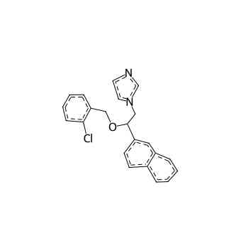 Clc1ccccc1COC(Cn1ccnc1)c1ccc2ccccc2c1